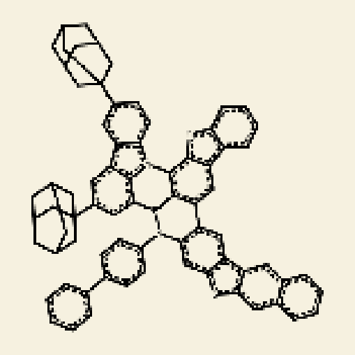 c1ccc(-c2ccc(N3B4c5c(cc6c(oc7ccccc76)c5-n5c6ccc(C78CC9CC(CC(C9)C7)C8)cc6c6cc(C78CC9CC(CC(C9)C7)C8)cc4c65)-c4cc5c(cc43)sc3cc4ccccc4cc35)cc2)cc1